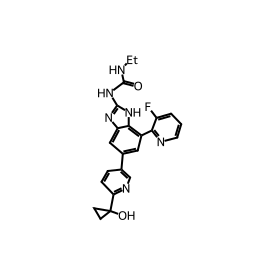 CCNC(=O)Nc1nc2cc(-c3ccc(C4(O)CC4)nc3)cc(-c3ncccc3F)c2[nH]1